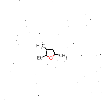 CCC1OC(C)CC1C